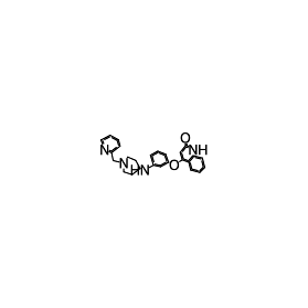 O=c1cc(Oc2cccc(NC3CCN(Cc4ccccn4)CC3)c2)c2ccccc2[nH]1